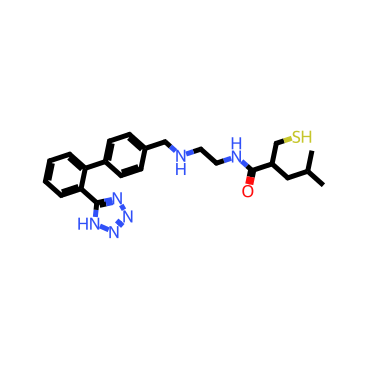 CC(C)CC(CS)C(=O)NCCNCc1ccc(-c2ccccc2-c2nnn[nH]2)cc1